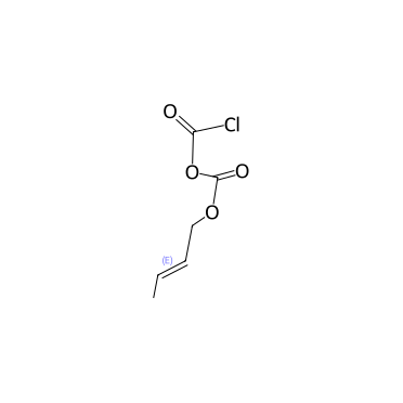 C/C=C/COC(=O)OC(=O)Cl